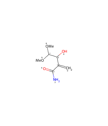 C=C(C(N)=O)C(O)C(OC)OC